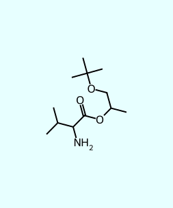 CC(COC(C)(C)C)OC(=O)C(N)C(C)C